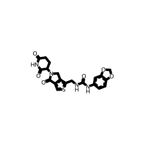 O=C1CCC(N2Cc3c(csc3CNC(=O)Nc3ccc4c(c3)OCO4)C2=O)C(=O)N1